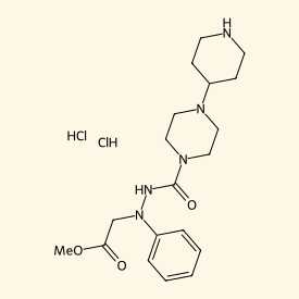 COC(=O)CN(NC(=O)N1CCN(C2CCNCC2)CC1)c1ccccc1.Cl.Cl